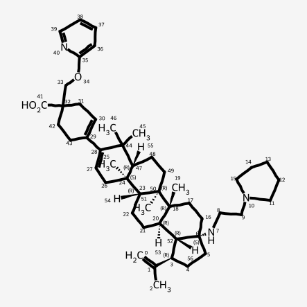 C=C(C)[C@@H]1CC[C@]2(NCCN3CCCCC3)CC[C@]3(C)[C@H](CC[C@@H]4[C@@]5(C)CC=C(C6=CCC(COc7ccccn7)(C(=O)O)CC6)C(C)(C)[C@@H]5CC[C@]43C)[C@@H]12